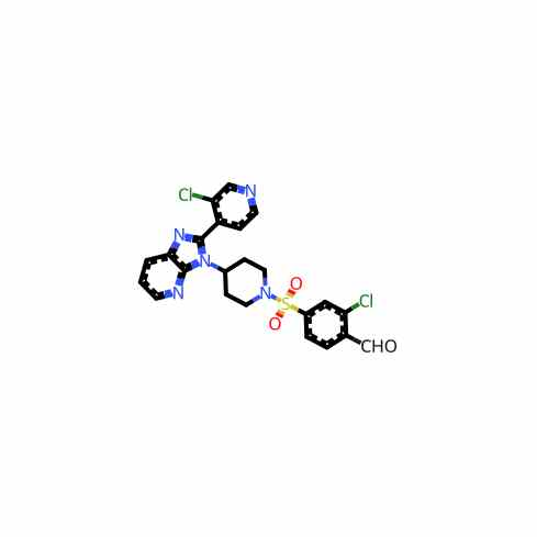 O=Cc1ccc(S(=O)(=O)N2CCC(n3c(-c4ccncc4Cl)nc4cccnc43)CC2)cc1Cl